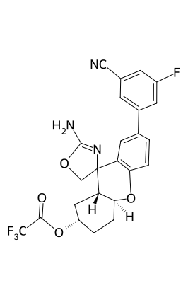 N#Cc1cc(F)cc(-c2ccc3c(c2)C2(COC(N)=N2)[C@H]2C[C@@H](OC(=O)C(F)(F)F)CC[C@@H]2O3)c1